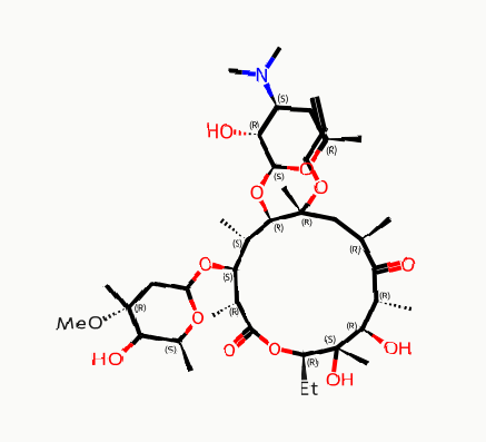 C=CCO[C@]1(C)C[C@@H](C)C(=O)[C@H](C)[C@@H](O)[C@](C)(O)[C@@H](CC)OC(=O)[C@H](C)[C@@H](OC2C[C@@](C)(OC)C(O)[C@H](C)O2)[C@H](C)[C@H]1O[C@@H]1O[C@H](C)C[C@H](N(C)C)[C@H]1O